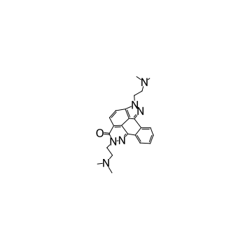 CN(C)CCn1nc2c3ccccc3c3nn(CCN(C)C)c4ccc(c1=O)c2c34